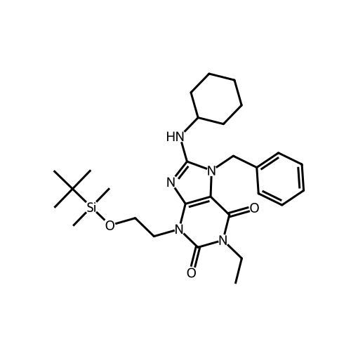 CCn1c(=O)c2c(nc(NC3CCCCC3)n2Cc2ccccc2)n(CCO[Si](C)(C)C(C)(C)C)c1=O